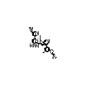 CN(C)CCOc1cc(F)cc(-c2cncc3[nH]c(-c4n[nH]c5ccc(-c6cncc(CN(C)C)c6)nc45)cc23)c1